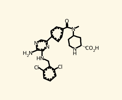 CN(C(=O)c1ccc(-c2cnc(N)c(NCc3c(Cl)cccc3Cl)n2)cc1)C1CCN[C@@H](C(=O)O)C1